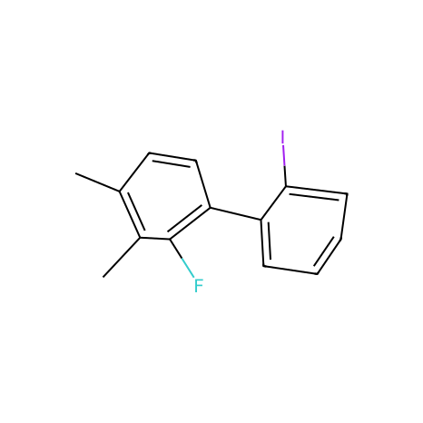 Cc1ccc(-c2ccccc2I)c(F)c1C